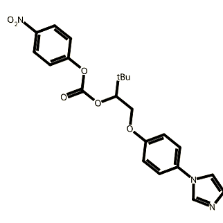 CC(C)(C)C(COc1ccc(-n2ccnc2)cc1)OC(=O)Oc1ccc([N+](=O)[O-])cc1